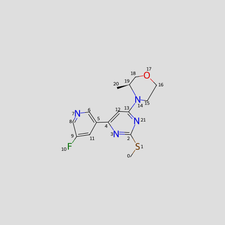 CSc1nc(-c2cncc(F)c2)cc(N2CCOC[C@@H]2C)n1